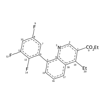 CCOC(=O)c1cnc2c(-c3cc(F)cc(F)c3F)cccc2c1CC